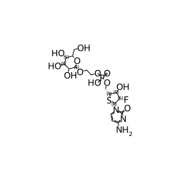 Nc1ccn([C@@H]2S[C@H](COP(=O)(O)OCCO[C@@H]3OC(CO)[C@@H](O)[C@H](O)C3O)[C@@H](O)[C@@H]2F)c(=O)n1